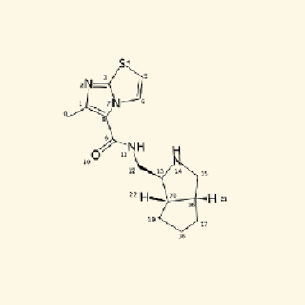 Cc1nc2sccn2c1C(=O)NC[C@H]1NC[C@@H]2CCC[C@@H]21